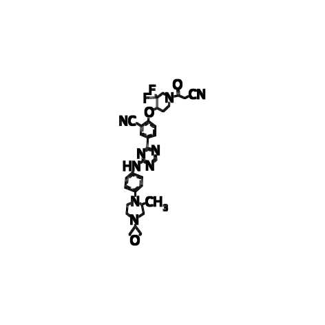 CC1CN(C2COC2)CCN1c1ccc(Nc2ncnc(-c3ccc(OC4CCN(C(=O)CC#N)CC4(F)F)c(C#N)c3)n2)cc1